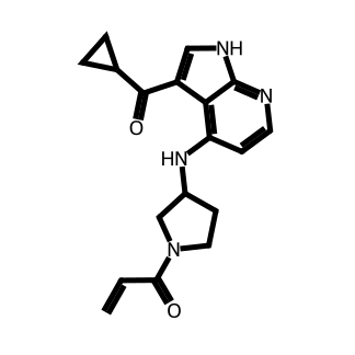 C=CC(=O)N1CCC(Nc2ccnc3[nH]cc(C(=O)C4CC4)c23)C1